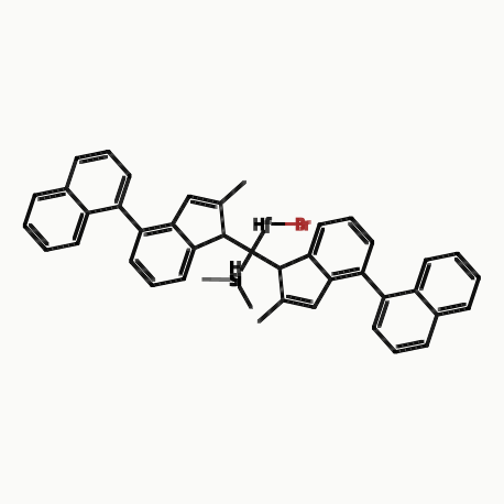 CC1=Cc2c(-c3cccc4ccccc34)cccc2C1[C]([Hf][Br])(C1C(C)=Cc2c(-c3cccc4ccccc34)cccc21)[SiH](C)C